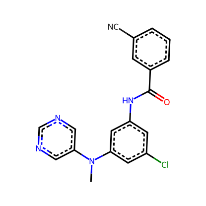 CN(c1cncnc1)c1cc(Cl)cc(NC(=O)c2cccc(C#N)c2)c1